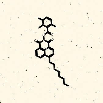 CCCCCCCCc1ccc2c3c(cccc13)C(=O)N(OC(=O)c1c(I)ccc(I)c1I)C2=O